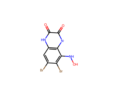 O=C1[N]c2c(cc(Br)c(Br)c2NO)NC1=O